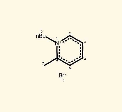 CCCC[n+]1ccccc1C.[Br-]